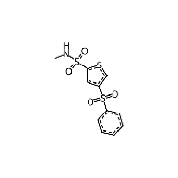 CNS(=O)(=O)c1cc(S(=O)(=O)c2ccccc2)cs1